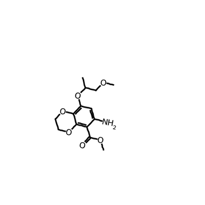 COCC(C)Oc1cc(N)c(C(=O)OC)c2c1OCCO2